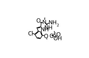 COc1ccc(Cl)c2cc(C(=O)N(C)C(=N)N)[nH]c12.CS(=O)(=O)O